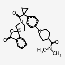 CN(C)C(=O)C1CCN(c2ccc(C3(C(=O)N4CC[C@@]5(C4)OC(=O)c4ccccc45)CC3)cc2)CC1